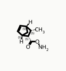 C[C@@H]1[C@H](C(=O)ON)[C@@H]2C=C[C@H]1C2